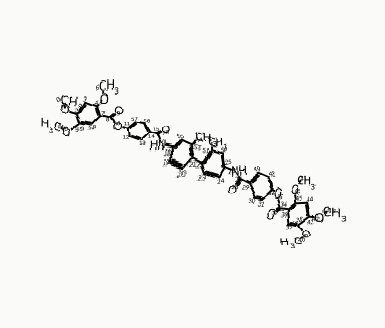 COc1cc(OC)c(C(=O)Oc2ccc(C(=O)Nc3ccc(-c4ccc(NC(=O)c5ccc(OC(=O)c6cc(OC)c(OC)cc6OC)cc5)cc4C)c(C)c3)cc2)cc1OC